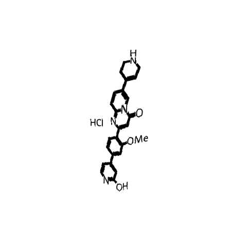 COc1cc(-c2ccnc(O)c2)ccc1-c1cc(=O)n2cc(C3=CCNCC3)ccc2n1.Cl